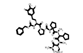 CN(C)C(=O)[C@H](CC(=O)O)N(C)C(=O)[C@H](C1CCCC1)N(C)C(=O)C1(NC(=O)[C@@H]2CCCN2C(=O)[C@H](CCc2cc(F)c(C(F)(F)F)c(F)c2)NC(=O)OCc2ccccc2)CCCC1